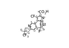 CCn1nc(C(=O)O)c(Cl)c1-c1cnc(CC(C)(C)C(F)(F)F)cc1C(C)(F)F